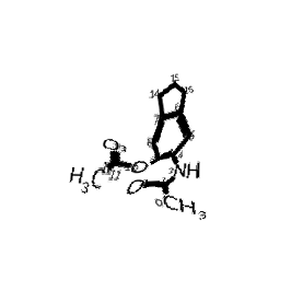 CC(=O)Nc1cc2c(cc1OC(C)=O)CCC2